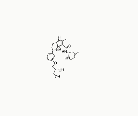 CC1=CCNC(NC(=O)C2=C(C)NC3CCC(c4cccc(OC[C@H](O)CO)c4)NN23)C1